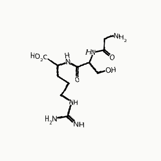 N=C(N)NCCCC(NC(=O)C(CO)NC(=O)CN)C(=O)O